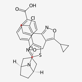 O=C(O)c1ccc(-c2csc(N3[C@@H]4CC[C@H]3C[C@H](OCc3c(-c5c(Cl)cccc5Cl)noc3C3CC3)C4)n2)cc1